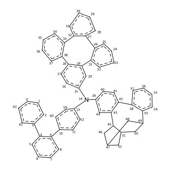 c1ccc(-c2ccccc2-c2ccc(N(c3ccc4c(c3)-c3ccccc3-c3ccccc3-c3ccccc3-4)c3ccc4c(c3)C3CC5CC(CC3C5)c3ccccc3-4)cc2)cc1